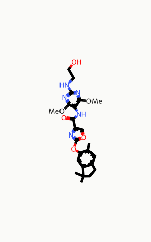 COc1nc(NCCO)nc(OC)c1NC(=O)c1coc(Oc2cc3c(cc2C)CCC3(C)C)n1